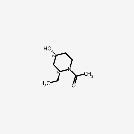 CC[C@H]1C[C@H](O)CCN1C(C)=O